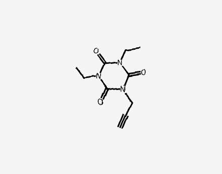 C#CCn1c(=O)n(CC)c(=O)n(CC)c1=O